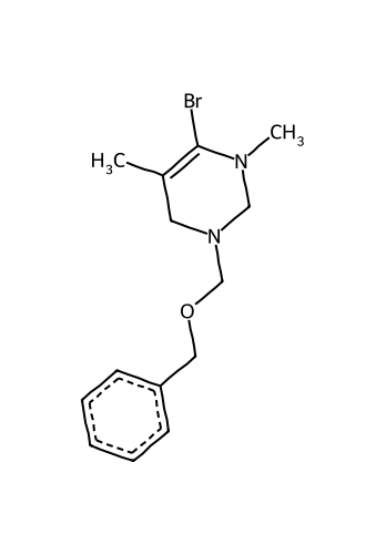 CC1=C(Br)N(C)CN(COCc2ccccc2)C1